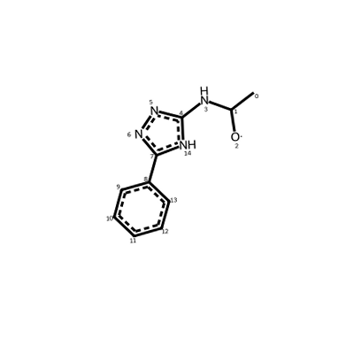 CC([O])Nc1nnc(-c2ccccc2)[nH]1